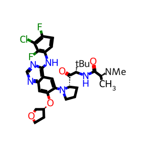 CN[C@@H](C)C(=O)N[C@H](C(=O)[C@@H]1CCCN1c1cc2c(Nc3ccc(F)c(Cl)c3F)ncnc2cc1O[C@@H]1CCOC1)C(C)(C)C